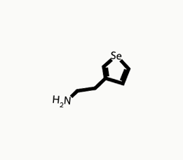 NCCc1cc[se]c1